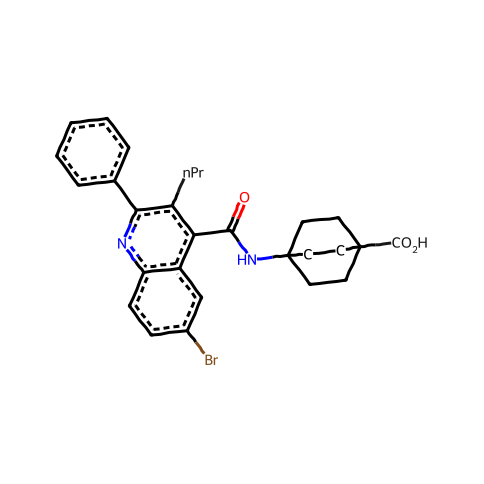 CCCc1c(-c2ccccc2)nc2ccc(Br)cc2c1C(=O)NC12CCC(C(=O)O)(CC1)CC2